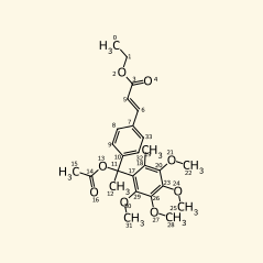 CCOC(=O)C=Cc1ccc(C(C)(OC(C)=O)c2c(C)c(OC)c(OC)c(OC)c2OC)cc1